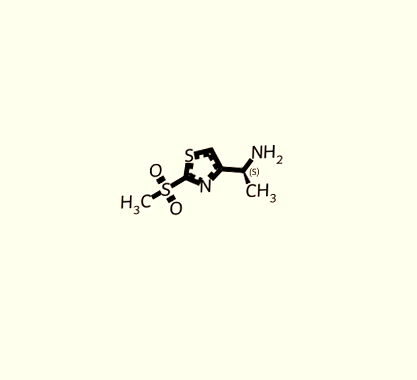 C[C@H](N)c1csc(S(C)(=O)=O)n1